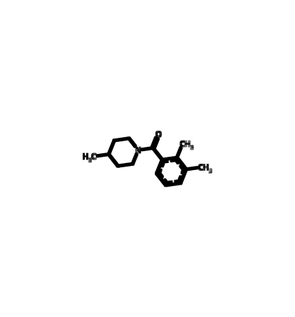 Cc1cccc(C(=O)N2CCC(C)CC2)c1C